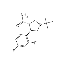 CC(C)(C)N1C[C@@H](C(N)=O)[C@H](c2ccc(F)cc2F)C1